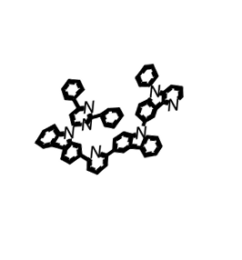 c1ccc(-c2cc(-n3c4ccccc4c4ccc(-c5cccc(-c6ccc7c(c6)c6ccccc6n7-c6ccc7c(c6)c6ncccc6n7-c6ccccc6)n5)cc43)nc(-c3ccccc3)n2)cc1